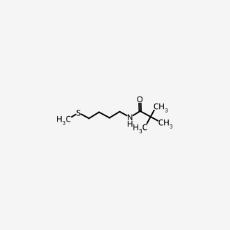 CSCCCCNC(=O)C(C)(C)C